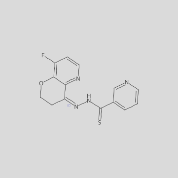 Fc1ccnc2c1OCC/C2=N/NC(=S)c1cccnc1